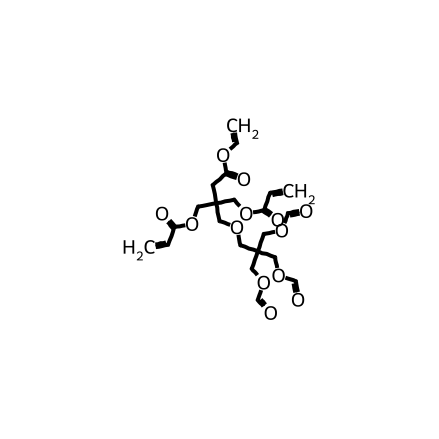 C=COC(=O)CC(COCC(COC=O)(COC=O)COC=O)(COC(=O)C=C)COC(=O)C=C